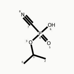 CC(C)OP(=O)(O)C#N